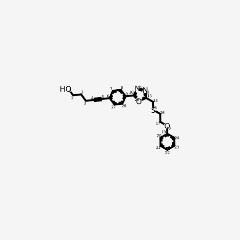 OCCCC#Cc1ccc(-c2nnc(CSCCOc3ccccc3)o2)cc1